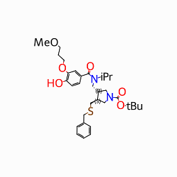 COCCCOc1cc(C(=O)N(C[C@@H]2CN(C(=O)OC(C)(C)C)C[C@H]2CSCc2ccccc2)C(C)C)ccc1O